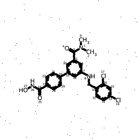 CN(C)C(=O)c1cc(NCc2ccc(Cl)cc2Cl)cc(-c2ccc(C(=O)NO)cc2)c1